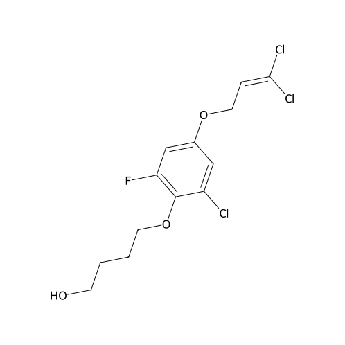 OCCCCOc1c(F)cc(OCC=C(Cl)Cl)cc1Cl